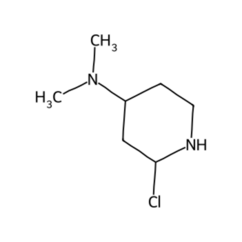 CN(C)C1CCNC(Cl)C1